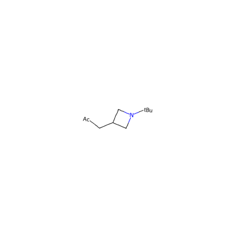 CC(=O)CC1CN(C(C)(C)C)C1